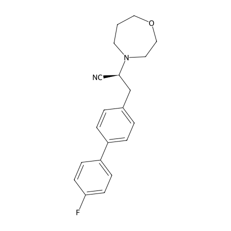 N#C[C@H](Cc1ccc(-c2ccc(F)cc2)cc1)N1CCCOCC1